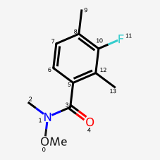 CON(C)C(=O)c1ccc(C)c(F)c1C